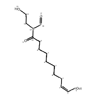 CCCCCCCC/C=C\CCCCCCCC(=O)N(CCO)P=O